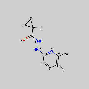 Cc1ccc(NNC(=O)C2(C)CC2)nc1C